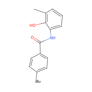 CCC(C)c1ccc(C(=O)Nc2cccc(C)c2O)cc1